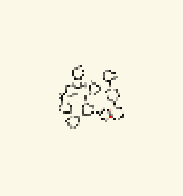 c1ccc(-c2cc(Cc3cc(-c4cc(-c5ccccc5)ccc4-c4ccccc4)cnc3-n3c4ccccc4c4cc5sc6ccccc6c5cc43)cc(-c3ccccc3)c2)cc1